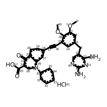 COc1cc(Cc2cnc(N)nc2N)cc(C#Cc2ccc3c(=O)c(C(=O)O)cn(-c4ccccc4)c3c2)c1OC.Cl